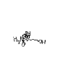 NC(=O)C(CCCCCCCO)S(=O)(=O)O